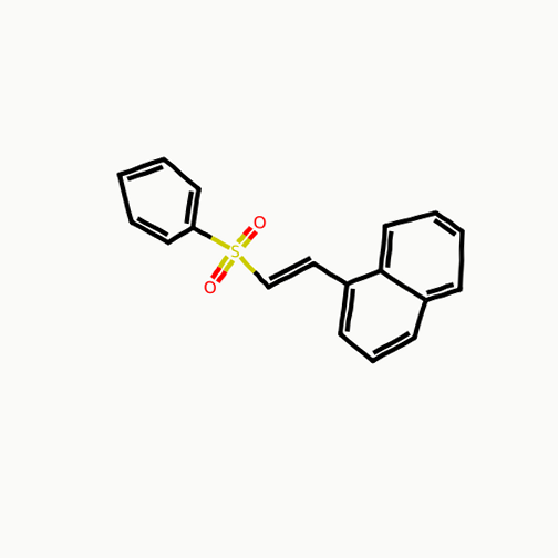 O=S(=O)(C=Cc1cccc2ccccc12)c1ccccc1